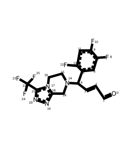 O=CC=CC(c1cc(F)c(F)cc1F)N1CCn2c(nnc2C(F)(F)F)C1